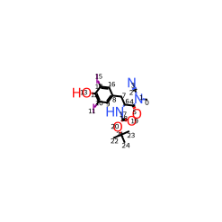 CN(C#N)C(=O)C(Cc1cc(I)c(O)c(I)c1)NC(=O)OC(C)(C)C